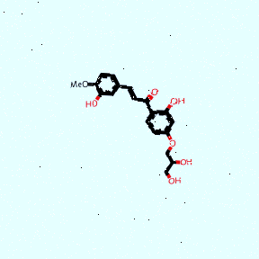 COc1ccc(C=CC(=O)c2ccc(OCC(O)CO)cc2O)cc1O